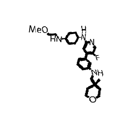 COCCN[C@H]1CC[C@H](Nc2cc(-c3cccc(NCC4(C)CCOCC4)c3)c(F)cn2)CC1